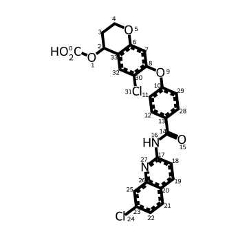 O=C(O)OC1CCOc2cc(Oc3ccc(C(=O)Nc4ccc5ccc(Cl)cc5n4)cc3)c(Cl)cc21